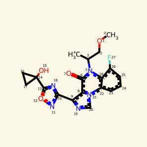 COCC(C)n1c(=O)c2c(-c3noc(C4(O)CC4)n3)ncn2c2cccc(F)c21